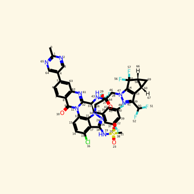 Cc1ncc(-c2ccc3c(=O)n(-c4ccc(Cl)c5c(NS(C)(=O)=O)nn(CC(F)(F)F)c45)c([C@H](Cc4cc(F)cc(F)c4)NC(=O)Cn4nc(C(F)F)c5c4C(F)(F)[C@@H]4C[C@H]54)nc3c2)cn1